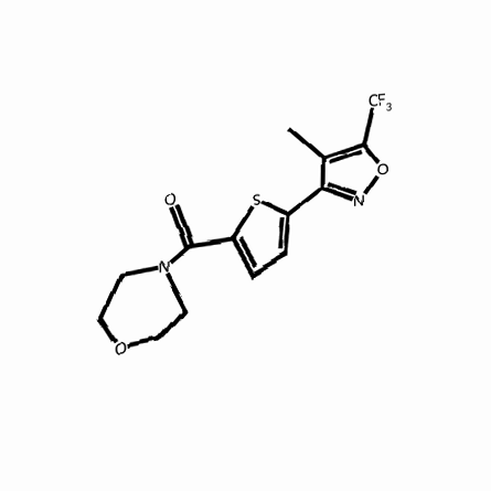 Cc1c(-c2ccc(C(=O)N3CCOCC3)s2)noc1C(F)(F)F